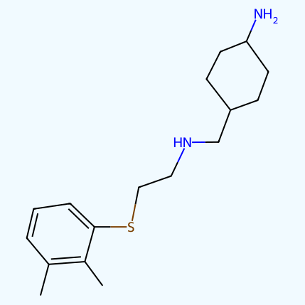 Cc1cccc(SCCNCC2CCC(N)CC2)c1C